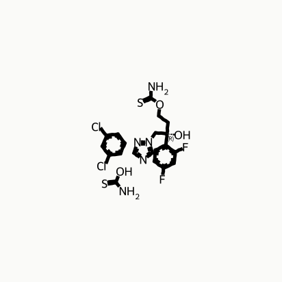 Clc1cccc(Cl)c1.NC(=S)OCC[C@](O)(Cn1cncn1)c1ccc(F)cc1F.NC(O)=S